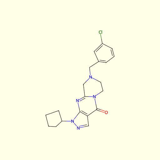 O=c1c2cnn(C3CCCC3)c2nc2n1CCN(Cc1cccc(Cl)c1)C2